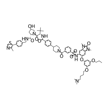 CCCOc1cc(OCCCCN(C)C)cc(Oc2cc3c(cc2NS(=O)(=O)c2cccc(C(=O)N4CCC(c5ccc(C(=O)N[C@H](C(=O)N6C[C@H](O)C[C@H]6C(=O)NCc6ccc(-c7scnc7C)cc6)C(C)(C)C)cc5)CC4)c2)n(C)c(=O)n3C)c1